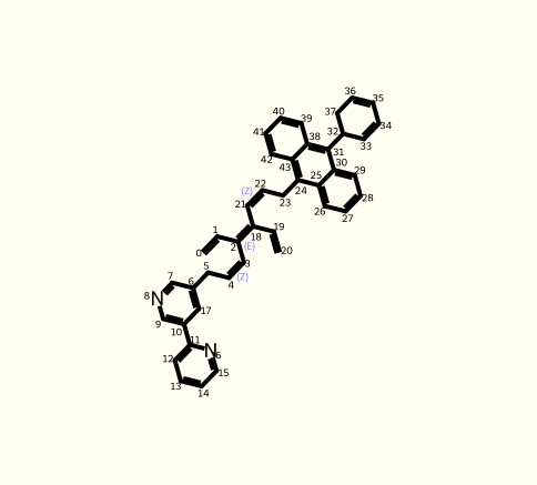 C=CC(/C=C\Cc1cncc(-c2ccccn2)c1)=C(C=C)\C=C/Cc1c2ccccc2c(C2C=CC=CC2)c2ccccc12